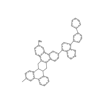 Cc1cc[n+]2c(c1)-c1ccccc1C1Cc3c([n+]4ccc(C(C)(C)C)cc4c4cc(-c5ccc(-c6cccc(-c7ccccc7)c6)c6cnccc56)ccc34)CC12